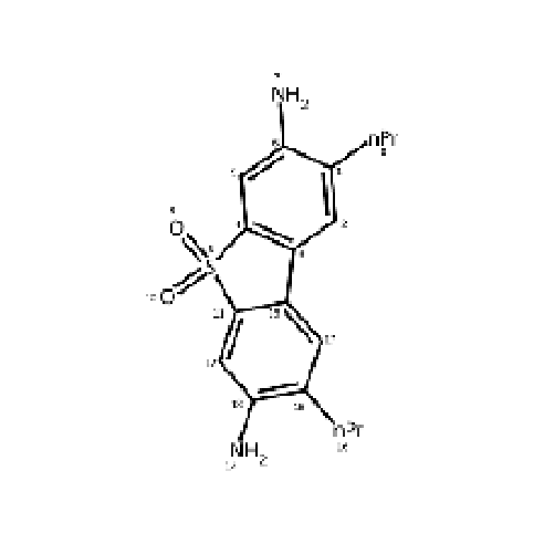 CCCc1cc2c(cc1N)S(=O)(=O)c1cc(N)c(CCC)cc1-2